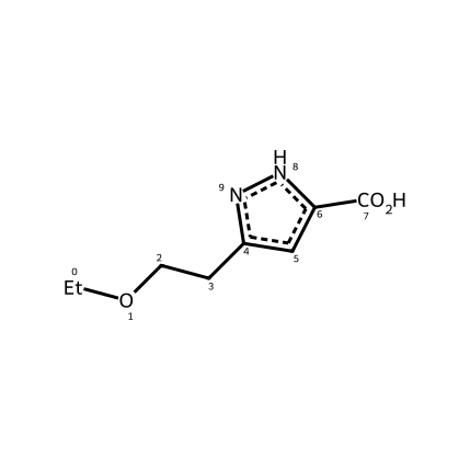 CCOCCc1cc(C(=O)O)[nH]n1